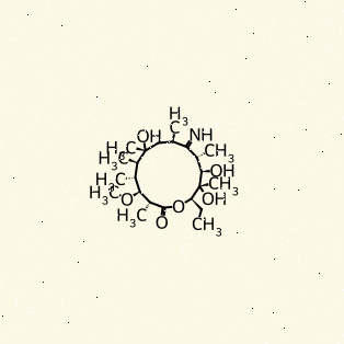 CC[C@H]1OC(=O)[C@H](C)[C@@H](OC)[C@H](C)[C@@H](C)[C@](C)(O)C[C@@H](C)C(=N)[C@H](C)[C@@H](O)[C@]1(C)O